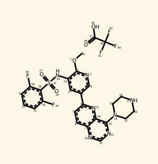 COc1ncc(-c2ccc3ncnc(N4CCNCC4)c3n2)cc1NS(=O)(=O)c1c(F)cccc1F.O=C(O)C(F)(F)F